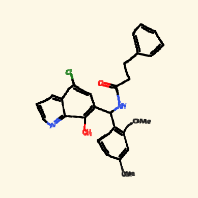 COc1ccc(C(NC(=O)CCc2ccccc2)c2cc(Cl)c3cccnc3c2O)c(OC)c1